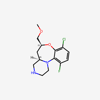 COC[C@@H]1C[C@@H]2CNCCN2c2c(F)ccc(Cl)c2O1